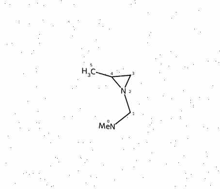 CNCN1CC1C